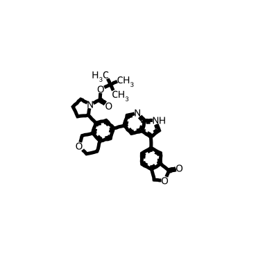 CC(C)(C)OC(=O)N1CCCC1c1cc(-c2cnc3[nH]cc(-c4ccc5c(c4)C(=O)OC5)c3c2)cc2c1COCC2